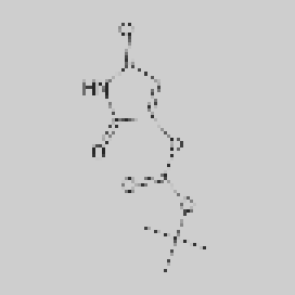 CC(C)(C)OC(=O)OC1=CC(=O)NC1=O